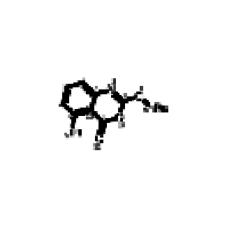 CCCCOc1nc2cccc(C(C)C)c2c(=O)o1